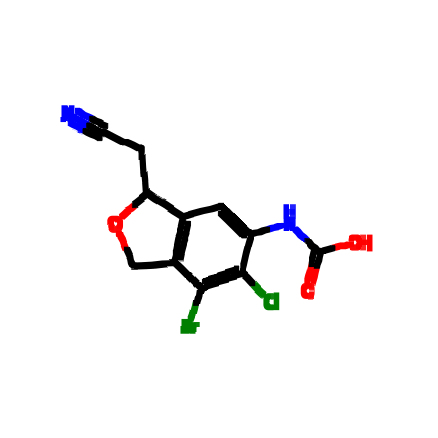 N#CCC1OCc2c1cc(NC(=O)O)c(Cl)c2Br